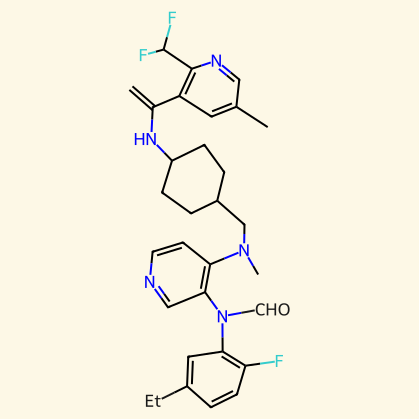 C=C(NC1CCC(CN(C)c2ccncc2N(C=O)c2cc(CC)ccc2F)CC1)c1cc(C)cnc1C(F)F